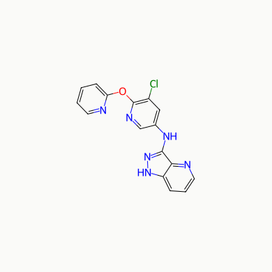 Clc1cc(Nc2n[nH]c3cccnc23)cnc1Oc1ccccn1